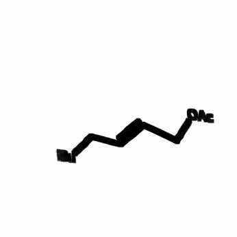 CCC(C)CC=CCOC(C)=O